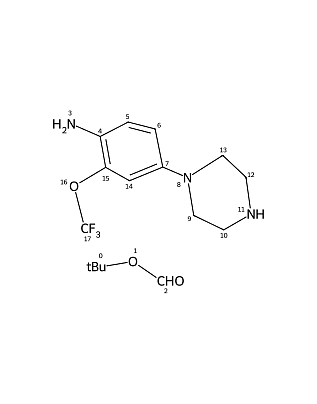 CC(C)(C)OC=O.Nc1ccc(N2CCNCC2)cc1OC(F)(F)F